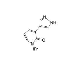 CC(C)n1cccc(-c2cn[nH]c2)c1=O